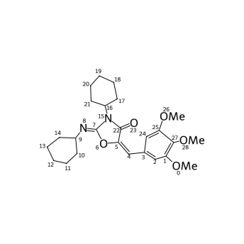 COc1cc(/C=C2/OC(=NC3CCCCC3)N(C3CCCCC3)C2=O)cc(OC)c1OC